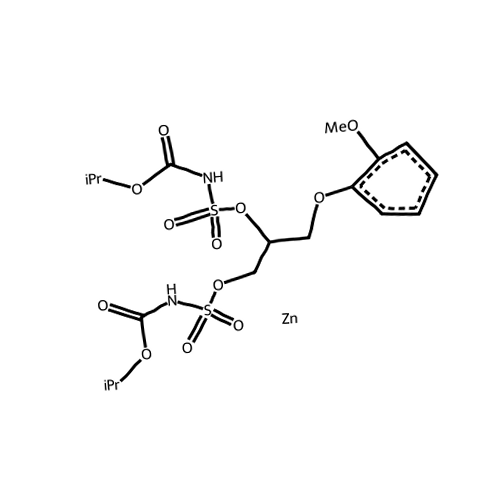 COc1ccccc1OCC(COS(=O)(=O)NC(=O)OC(C)C)OS(=O)(=O)NC(=O)OC(C)C.[Zn]